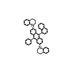 c1ccc(-c2c3cc(N4CCCc5ccccc54)ccc3c(-c3cccc4ccccc34)c3cc(N4CCCc5ccccc54)ccc23)cc1